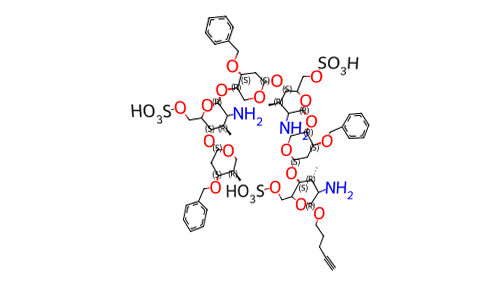 C#CCCCO[C@@H]1OC(COS(=O)(=O)O)[C@@H](O[C@H]2C[C@H](OCc3ccccc3)[C@H](O[C@@H]3OC(COS(=O)(=O)O)[C@@H](O[C@H]4C[C@H](OCc5ccccc5)[C@H](O[C@@H]5OC(COS(=O)(=O)O)[C@@H](O[C@H]6C[C@H](OCc7ccccc7)[C@H](C)CO6)[C@H](C)C5N)CO4)[C@H](C)C3N)CO2)[C@H](C)C1N